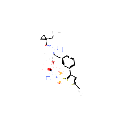 CCCCOC(=O)NS(=O)(=O)c1sc(CC(C)C)cc1-c1cccc(CNC(=O)C2(CC(F)(F)F)CC2)c1